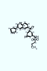 CCCS(=O)(=O)Nc1cc(F)cc(C(=O)c2ccc3ncc(-c4cccnc4)cc3c2)c1